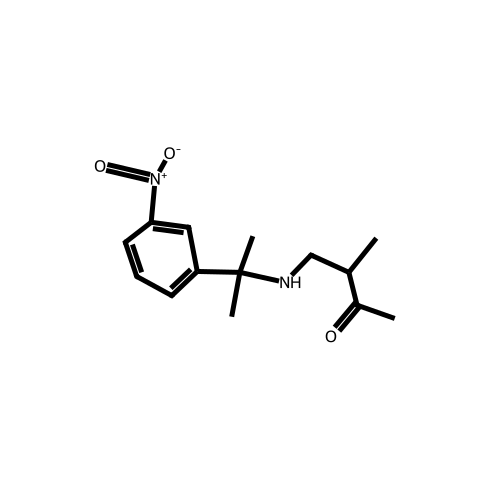 CC(=O)C(C)CNC(C)(C)c1cccc([N+](=O)[O-])c1